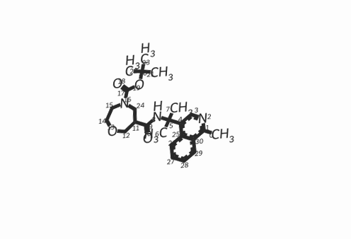 Cc1ncc(C(C)(C)NC(=O)C2COCCN(C(=O)OC(C)(C)C)C2)c2ccccc12